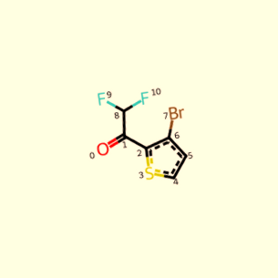 O=C(c1sccc1Br)C(F)F